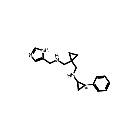 c1ccc([C@H]2CC2NCC2(CNCc3cnc[nH]3)CC2)cc1